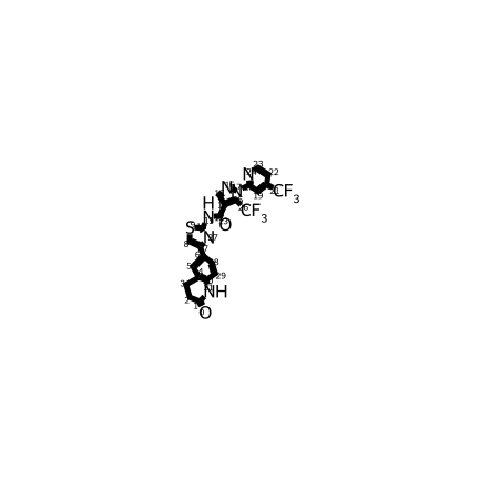 O=C1CCc2cc(-c3csc(NC(=O)c4cnn(-c5cc(C(F)(F)F)ccn5)c4C(F)(F)F)n3)ccc2N1